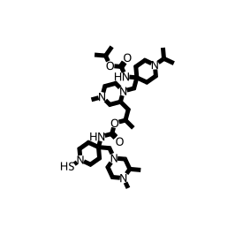 CC(C)OC(=O)NC1(CN2CCN(C)CC2CC(C)OC(=O)NC2(CN3CCN(C)C(C)C3)CCN(S)CC2)CCN(C(C)C)CC1